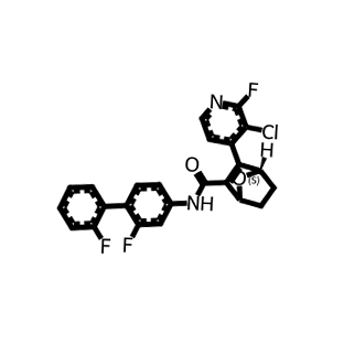 O=C(Nc1ccc(-c2ccccc2F)c(F)c1)C1=C(c2ccnc(F)c2Cl)[C@@H]2CCC1O2